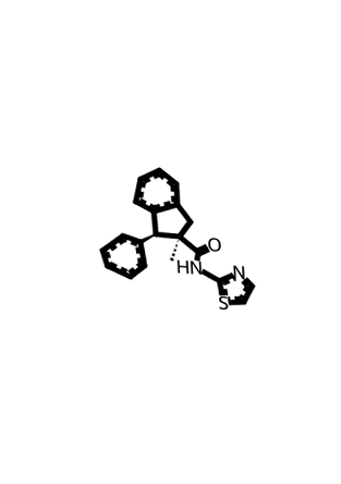 C[C@@]1(C(=O)Nc2nccs2)Cc2ccccc2[C@@H]1c1ccccc1